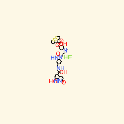 CN(CCCn1c(=O)[nH]c2cc(CNC[C@H](O)c3ccc(O)c4[nH]c(=O)ccc34)ccc21)[C@H]1CC[C@H](OC(C(=O)O)(c2cccs2)c2cccs2)CC1.F.F